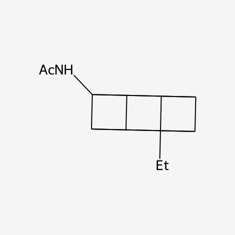 CCC12C3C4C1C1C2C3C41NC(C)=O